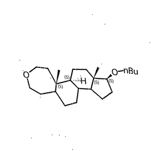 CCCCO[C@H]1CCC2C3CCC4CCOCC[C@]4(C)[C@H]3CC[C@@]21C